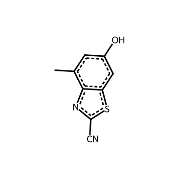 Cc1cc(O)cc2sc(C#N)nc12